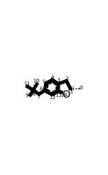 C[C@H]1Cc2ccc(CC(C)(C)C)cc2O1